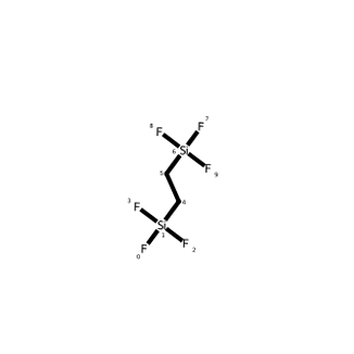 F[Si](F)(F)CC[Si](F)(F)F